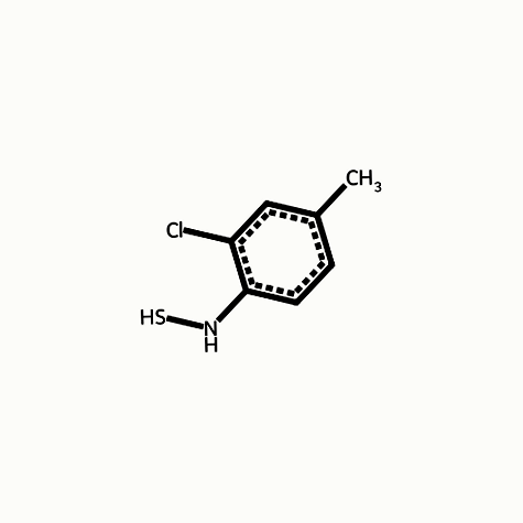 Cc1ccc(NS)c(Cl)c1